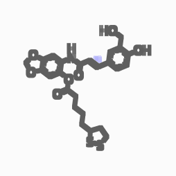 O=C(/C=C/c1ccc(O)c(CO)c1)Nc1cc2c(cc1OC(=O)CCCCC1CCSS1)OCO2